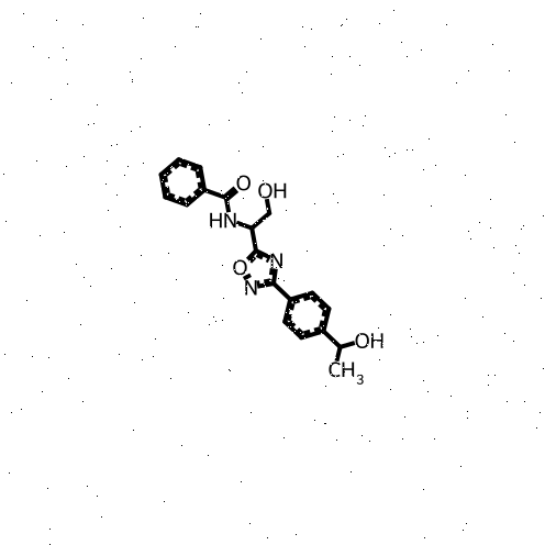 CC(O)c1ccc(-c2noc(C(CO)NC(=O)c3ccccc3)n2)cc1